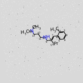 Cc1ccccc1/C=C(/CNCCCN(C)C)C(C)C